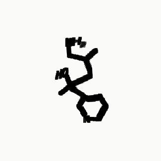 CC(CN)CC(C)(O)c1cccnc1